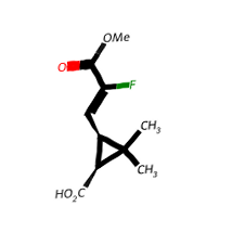 COC(=O)C(F)=C[C@@H]1[C@H](C(=O)O)C1(C)C